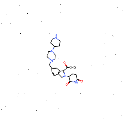 O=CC(=O)C1c2cc(CN3CCN(C4CCNCC4)CC3)ccc2CN1C1CCC(=O)NC1=O